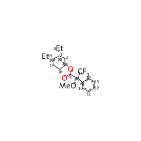 CC[C@@H]1C[C@H](OC(=O)[C@](OC)(c2ccccc2)C(F)(F)F)CC[C@@H]1CC